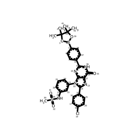 CC1(C)OB(c2ccc(-c3nc4c(nc(-c5ccc(Cl)cc5)n4-c4cccc(NS(C)(=O)=O)c4)c(=O)[nH]3)cc2)OC1(C)C